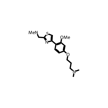 CNCc1nc(-c2ccc(OCCCN(C)C)cc2OC)cs1